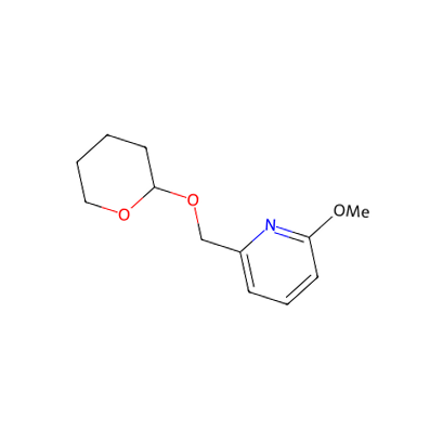 COc1cccc(COC2CCCCO2)n1